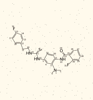 CN(C)c1cc(NC(=S)NCCc2ccc(F)cc2)ccc1NC(=O)c1ccccc1F